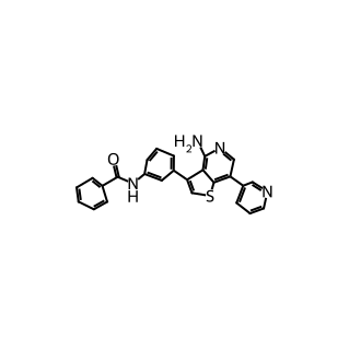 Nc1ncc(-c2cccnc2)c2scc(-c3cccc(NC(=O)c4ccccc4)c3)c12